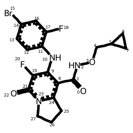 O=C(NOCC1CC1)c1c(Nc2ccc(Br)cc2F)c(F)c(=O)n2c1CCC2